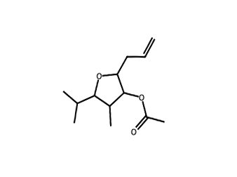 C=CCC1OC(C(C)C)C(C)C1OC(C)=O